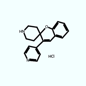 C1=C(c2ccncc2)C2(CCNCC2)Oc2ccccc21.Cl